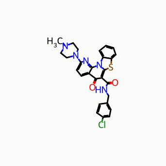 CN1CCN(c2ccc3c(=O)c(C(=O)NCc4ccc(Cl)cc4)c4sc5ccccc5n4c3n2)CC1